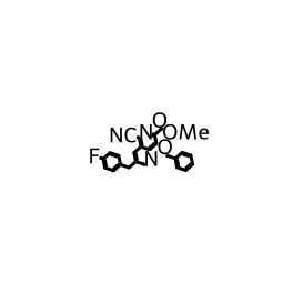 COC(=O)c1nc(C#N)c2cc(Cc3ccc(F)cc3)cnc2c1OCc1ccccc1